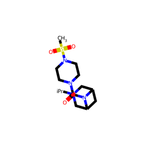 CC(C)N1CC2CC(C1)N2C(=O)N1CCN(S(C)(=O)=O)CC1